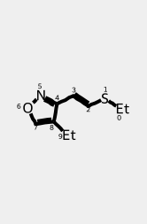 CCSC=Cc1nocc1CC